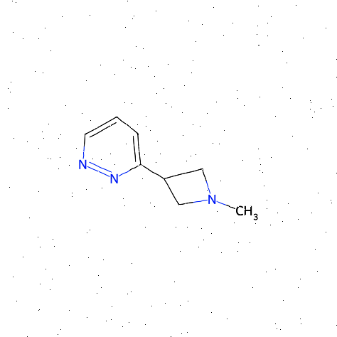 CN1CC(c2cccnn2)C1